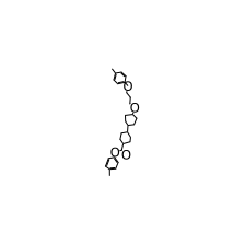 Cc1ccc(OCCCOC2CCC(C3CCC(C(=O)Oc4ccc(C)cc4)CC3)CC2)cc1